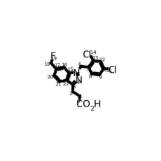 O=C(O)CCc1nn(Cc2ccc(Cl)cc2Cl)c2cc(CF)ccc12